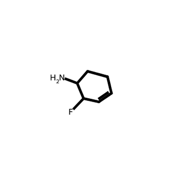 NC1CCC=CC1F